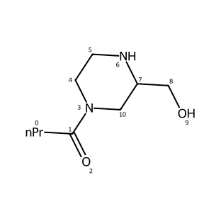 CCCC(=O)N1CCNC(CO)C1